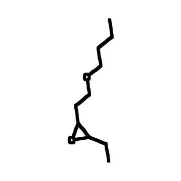 CCCCOCCC1OC1CC